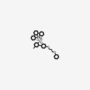 CCP(OS(=O)(=O)c1ccc(C)cc1-c1ccc(OCCCOc2ccccc2)cc1)(c1ccccc1)(c1ccccc1)c1ccccc1